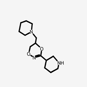 C1CCN(CC2CON=C(C3CCCNC3)O2)CC1